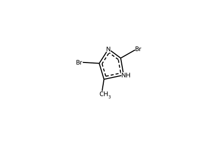 Cc1[nH]c(Br)nc1Br